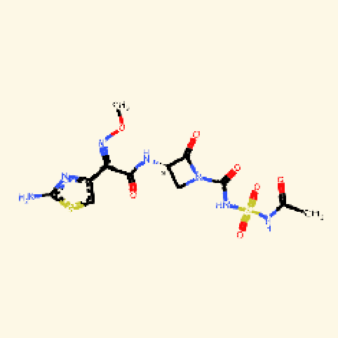 CON=C(C(=O)N[C@H]1CN(C(=O)NS(=O)(=O)NC(C)=O)C1=O)c1csc(N)n1